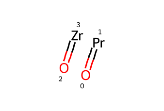 [O]=[Pr].[O]=[Zr]